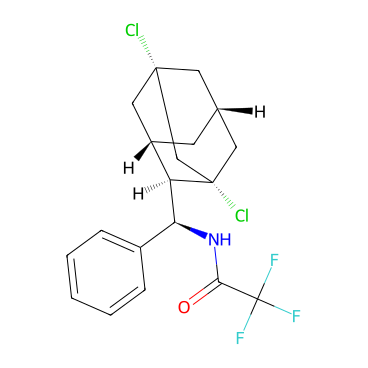 O=C(N[C@@H](c1ccccc1)[C@H]1[C@H]2C[C@@H]3C[C@](Cl)(C2)C[C@@]1(Cl)C3)C(F)(F)F